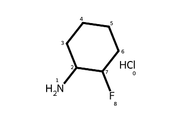 Cl.NC1CCCCC1F